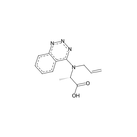 C=CCN(c1nnnc2ccccc12)[C@@H](C)C(=O)O